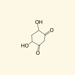 O=C1CC(=O)C(O)CC1O